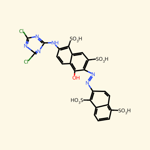 O=S(=O)(O)c1cc2c(S(=O)(=O)O)c(Nc3nc(Cl)nc(Cl)n3)ccc2c(O)c1N=Nc1ccc2c(S(=O)(=O)O)cccc2c1S(=O)(=O)O